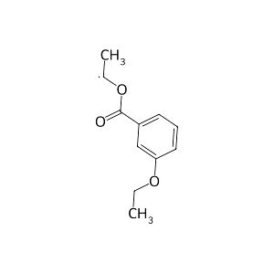 C[CH]OC(=O)c1cccc(OCC)c1